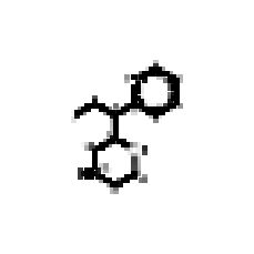 CCC(c1c[c]ccn1)C1CNCCO1